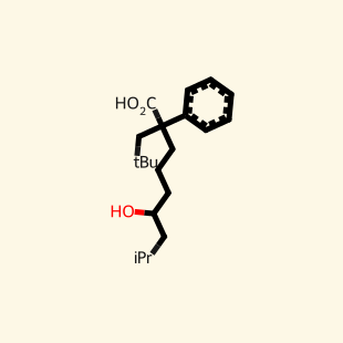 CC(C)CC(O)CCCC(CC(C)(C)C)(C(=O)O)c1ccccc1